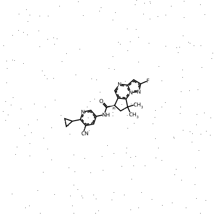 CC1(C)C[C@@H](C(=O)Nc2cnc(C3CC3)c(C#N)c2)c2cnc3cc(F)nn3c21